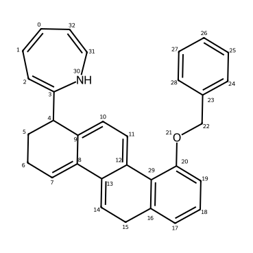 C1=CC=C(C2CCC=c3c2ccc2c3=CCc3cccc(OCc4ccccc4)c3-2)NC=C1